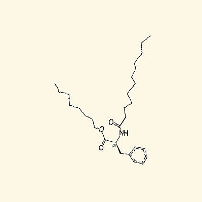 CCCCCCCCCCCC(=O)N[C@@H](Cc1ccccc1)C(=O)OCCCCCCCC